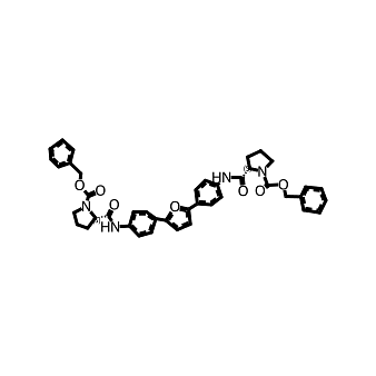 O=C(Nc1ccc(-c2ccc(-c3ccc(NC(=O)[C@@H]4CCCN4C(=O)OCc4ccccc4)cc3)o2)cc1)[C@@H]1CCCN1C(=O)OCc1ccccc1